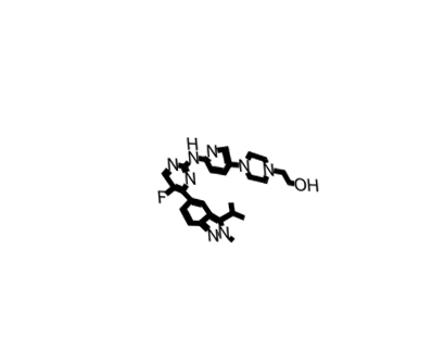 CC(C)c1c2cc(-c3nc(Nc4ccc(N5CCN(CCO)CC5)cn4)ncc3F)ccc2nn1C